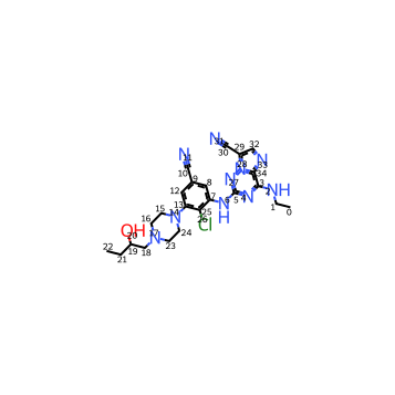 CCNc1nc(Nc2cc(C#N)cc(N3CCN(CC(O)CC)CC3)c2Cl)nn2c(C#N)cnc12